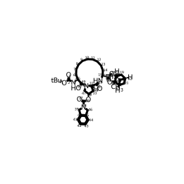 CC(C)(C)OC(=O)N[C@H]1CCCCCCCCC[C@@H](B2O[C@@H]3C[C@@H]4C[C@@H](C4(C)C)[C@]3(C)O2)NC(=O)[C@@H]2C[C@@H](OC(=O)N3Cc4ccccc4C3)CN2C1=O